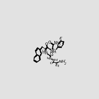 CC[C@H](N)C(=O)NNC(=O)N[C@@H](Cc1ccc2ccccc2c1)C(=O)N[C@@H](Cc1cccc(F)c1)C(N)=O